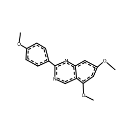 COc1ccc(-c2ncc3c(OC)cc(OC)cc3n2)cc1